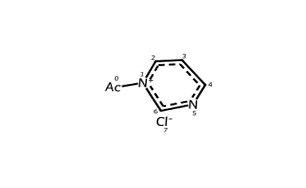 CC(=O)[n+]1cccnc1.[Cl-]